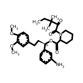 CCC(C)(C)C(=O)C(=O)N1CCCCC1C(=O)O[C@H](CCc1ccc(OC)c(OC)c1)c1cccc(N)c1